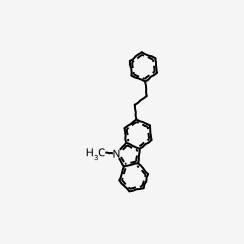 Cn1c2ccccc2c2ccc(CCc3ccccc3)cc21